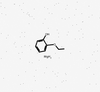 CCOc1ccccc1O.[MgH2]